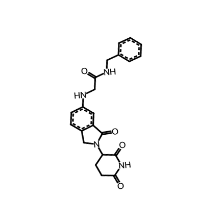 O=C(CNc1ccc2c(c1)C(=O)N(C1CCC(=O)NC1=O)C2)NCc1ccccc1